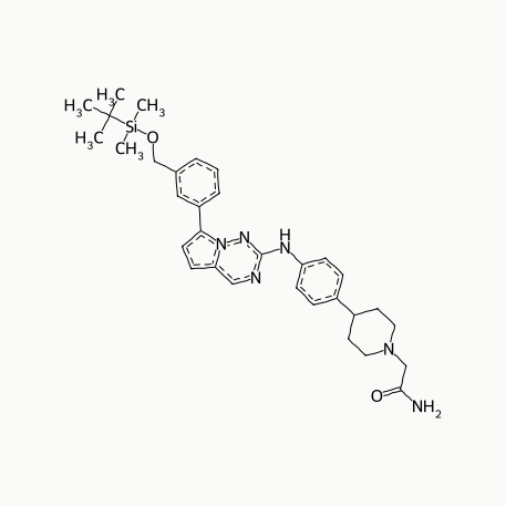 CC(C)(C)[Si](C)(C)OCc1cccc(-c2ccc3cnc(Nc4ccc(C5CCN(CC(N)=O)CC5)cc4)nn23)c1